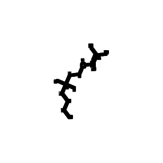 CCCCC(C)(C)CCON=C(C)C